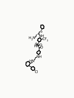 NCC[C@H](CSc1ccccc1)Nc1ccc(S(=O)(=O)NC(=O)c2ccc(NCCNCc3ccccc3-c3ccc(Cl)cc3)cc2)cc1C(F)(F)F